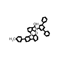 Cc1ccc(-c2ccc3c4ccccc4n(-c4cccc5c4C(=O)N(c4cc(-c6ccccc6)cc(-c6ccccc6)c4)C5O)c3c2)cc1